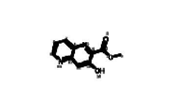 COC(=O)c1nc2cccnc2cc1O